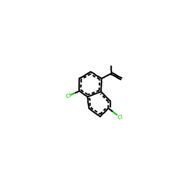 C=C(C)c1ccc(Cl)c2ccc(Cl)cc12